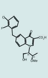 CO[C@H](C)[C@@H](CO)n1cc(C(=O)O)c(=O)c2cc(Cc3cccc(Cl)c3F)ccc21